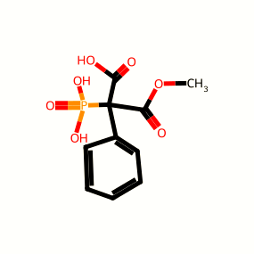 COC(=O)C(C(=O)O)(c1ccccc1)P(=O)(O)O